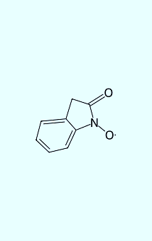 [O]N1C(=O)Cc2ccccc21